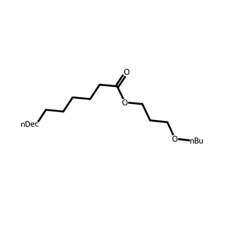 CCCCCCCCCCCCCCCC(=O)OCCCOCCCC